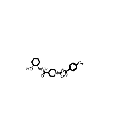 COc1ccc(-c2noc(N3CCC(C(=O)NC[C@@H]4CCCC[C@H]4O)CC3)n2)cc1